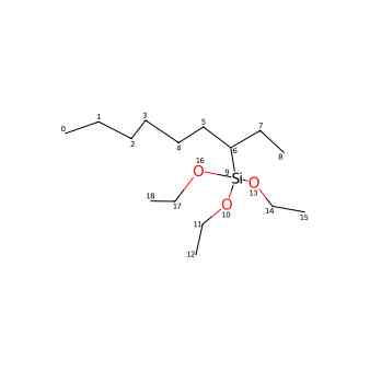 CCCCCCC(CC)[Si](OCC)(OCC)OCC